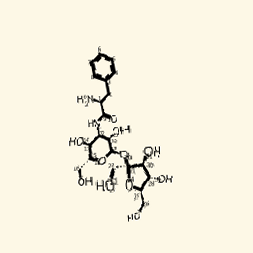 N[C@@H](Cc1ccccc1)C(=O)N[C@@H]1[C@H](O)[C@@H](CO)OC(O[C@]2(CO)O[C@H](CO)[C@@H](O)[C@@H]2O)[C@@H]1O